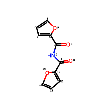 O=C(NC(=O)c1ccco1)c1ccco1